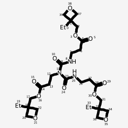 CCC1(COC(=O)CCNC(=O)N(CCC(=O)OCC2(CC)COC2)C(=O)NCCC(=O)OCC2(CC)COC2)COC1